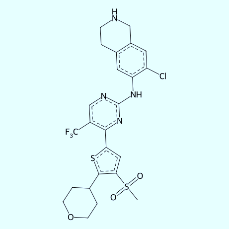 CS(=O)(=O)c1cc(-c2nc(Nc3cc4c(cc3Cl)CNCC4)ncc2C(F)(F)F)sc1C1CCOCC1